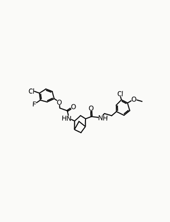 COc1ccc(CCNC(=O)C2CC(NC(=O)COc3ccc(Cl)c(F)c3)C3CC2C3)cc1Cl